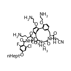 CCCCCCCOc1cc(F)c(C(=O)N[C@@H](CCN)C(=O)N(C)[C@@H]2C(=O)N[C@@H](C)C(=O)N[C@H](C(=O)NCC#N)Cc3ccc(OCCN)c(c3)-c3cc2ccc3OCCN)c(Cl)c1